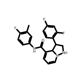 Cc1cc(NC(=O)C2=CC=CN3NCC(c4ccc(F)cc4F)C23)ccc1F